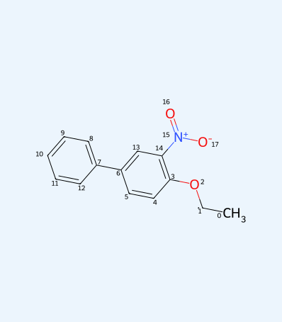 C[CH]Oc1ccc(-c2ccccc2)cc1[N+](=O)[O-]